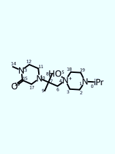 CC(C)N1CC[N+](O)(CC(C)(C)N2CCN(C)C(=O)C2)CC1